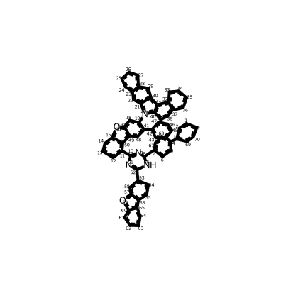 c1ccc(-c2ccc(C3N=C(c4cccc5oc6cc(-n7c8cc9ccccc9cc8c8c9ccccc9ccc87)c(-c7ccccc7)cc6c45)N=C(c4ccc5c(c4)oc4ccccc45)N3)cc2)cc1